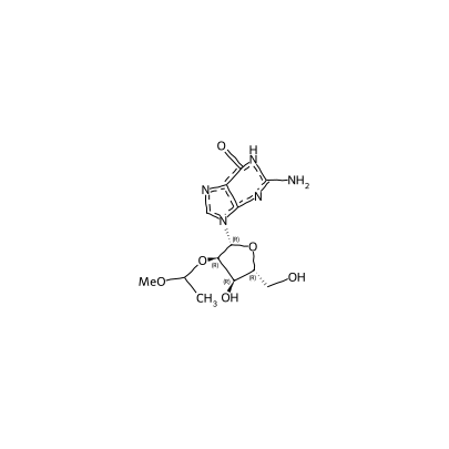 COC(C)O[C@@H]1[C@H](O)[C@@H](CO)O[C@H]1n1cnc2c(=O)[nH]c(N)nc21